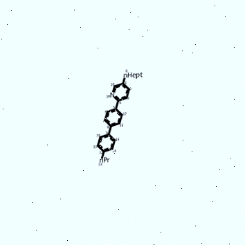 CCCCCCCc1ccc(-c2ccc(-c3ccc(CCC)cc3)cc2)nc1